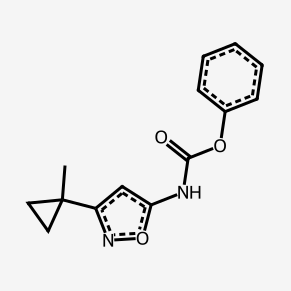 CC1(c2cc(NC(=O)Oc3ccccc3)on2)CC1